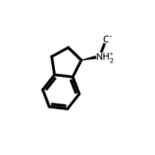 [CH2-][NH2+][C@@H]1CCc2ccccc21